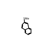 CSc1ccc2c[c]ccc2c1